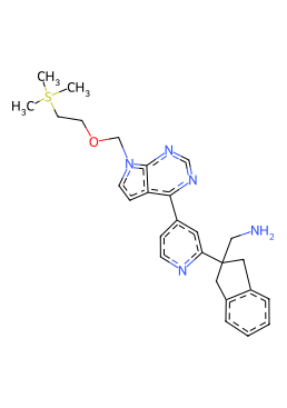 CS(C)(C)CCOCn1ccc2c(-c3ccnc(C4(CN)Cc5ccccc5C4)c3)ncnc21